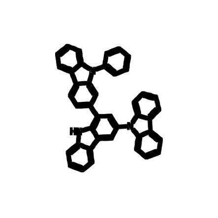 c1ccc(-n2c3ccccc3c3ccc(-c4cc(-n5c6ccccc6c6ccccc65)cc5c4[nH]c4ccccc45)cc32)cc1